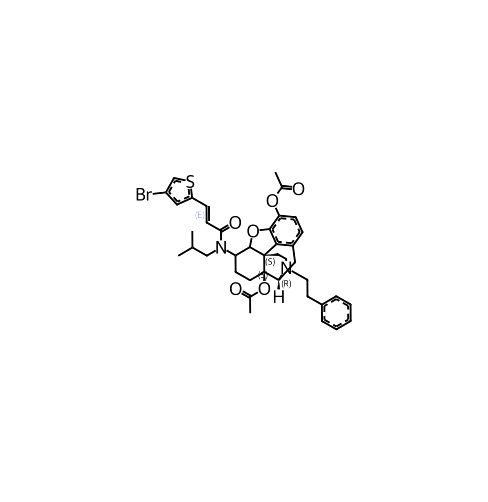 CC(=O)Oc1ccc2c3c1OC1C(N(CC(C)C)C(=O)/C=C/c4cc(Br)cs4)CC[C@@]4(OC(C)=O)[C@@H](C2)N(CCc2ccccc2)CC[C@]314